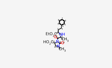 CCOC(=O)C(CCc1ccccc1)NC(C)C(=O)N1C(=O)N(C)C[C@H]1C(=O)O